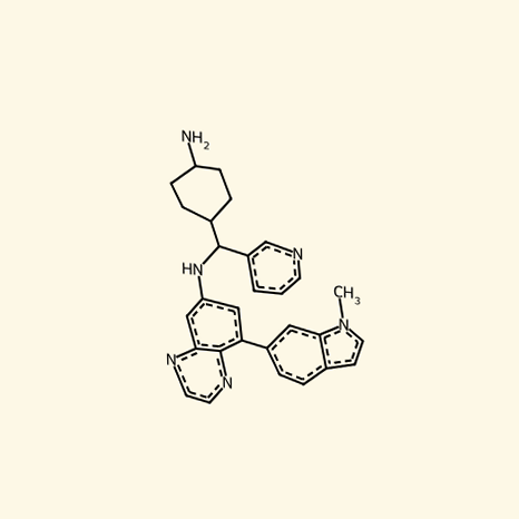 Cn1ccc2ccc(-c3cc(NC(c4cccnc4)C4CCC(N)CC4)cc4nccnc34)cc21